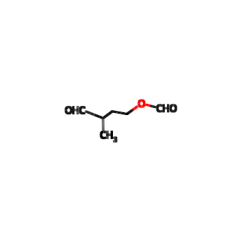 CC(C=O)CCOC=O